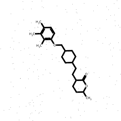 Cc1ccc(OCC2CCC(CCC3CCC(C)OC3=O)CC2)c(C)c1C